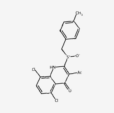 CC(=O)c1c([S+]([O-])Cc2ccc(C)cc2)[nH]c2c(Cl)ccc(Cl)c2c1=O